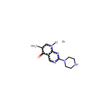 CCn1cc(C(=O)O)c(=O)c2cnc(N3CCNCC3)nc21.[Zn]